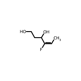 C/C=C(/F)C(O)CCO